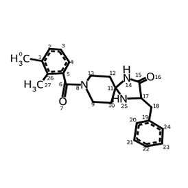 Cc1cccc(C(=O)N2CCC3(CC2)NC(=O)C(Cc2ccccc2)N3)c1C